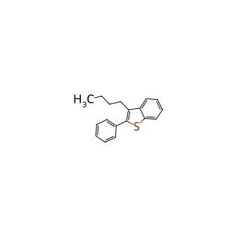 CCCCc1c(-c2ccccc2)sc2ccccc12